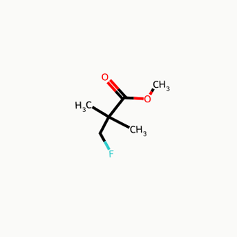 COC(=O)C(C)(C)CF